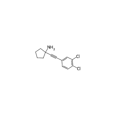 NC1(C#Cc2ccc(Cl)c(Cl)c2)CCCC1